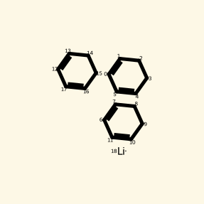 C1=CCCC=C1.C1=CCCC=C1.C1=CCCC=C1.[Li]